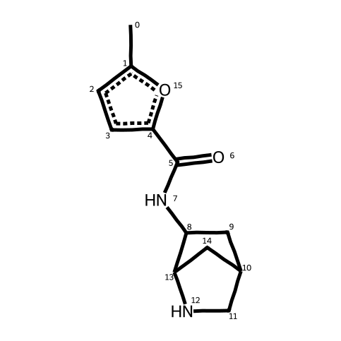 Cc1ccc(C(=O)NC2CC3CNC2C3)o1